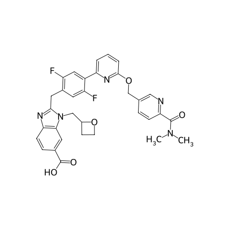 CN(C)C(=O)c1ccc(COc2cccc(-c3cc(F)c(Cc4nc5ccc(C(=O)O)cc5n4CC4CCO4)cc3F)n2)cn1